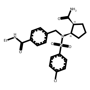 CCNC(=O)c1ccc(CN([C@@H]2CCC[C@@H]2C(N)=O)S(=O)(=O)c2ccc(Cl)cc2)cc1